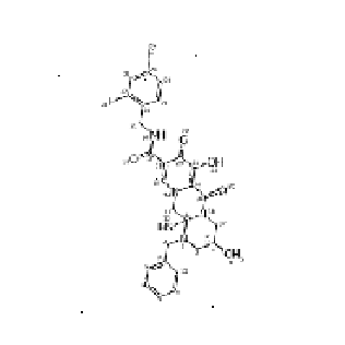 C[C@H]1CN(Cc2ccccc2)C2(S)Cn3cc(C(=O)NCc4ccc(F)cc4F)c(=O)c(O)c3C(=O)N2C1